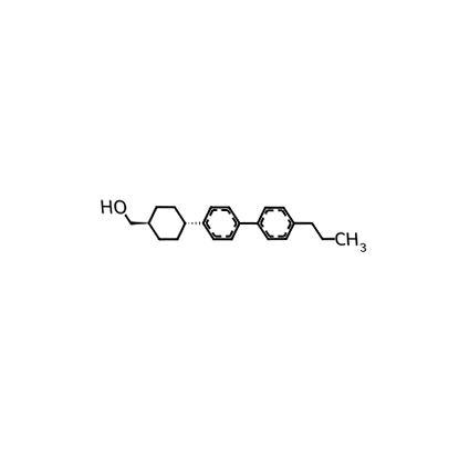 CCCc1ccc(-c2ccc([C@H]3CC[C@H](CO)CC3)cc2)cc1